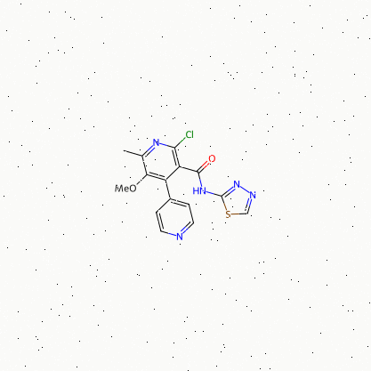 COc1c(C)nc(Cl)c(C(=O)Nc2nncs2)c1-c1ccncc1